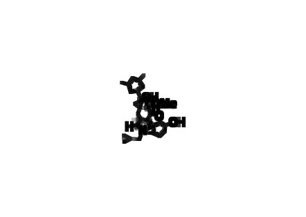 CC[C@]1(OC)[C@@H]2Oc3c(O)ccc4c3[C@@]23CCN(CC2CC2)[C@H](C4)[C@@]3(C)CC12C[C@@]2(O)c1cc(C)cc(C)c1